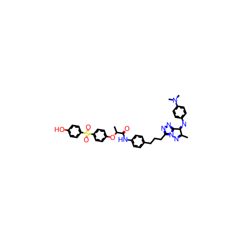 CC1=Nn2c(CCCc3ccc(NC(=O)C(C)Oc4ccc(S(=O)(=O)c5ccc(O)cc5)cc4)cc3)nnc2/C1=N\c1ccc(N(C)C)cc1